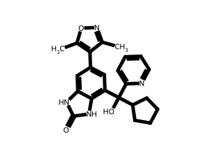 Cc1noc(C)c1-c1cc(C(O)(c2ccccn2)C2CCCC2)c2[nH]c(=O)[nH]c2c1